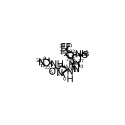 Cc1nc(C(=O)NC2CCN(C)CC2)ccc1Nc1ncc2c(n1)-c1ccc(C(F)(F)F)cc1NC(=S)C2